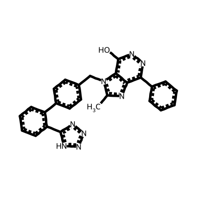 Cc1nc2c(-c3ccccc3)nnc(O)c2n1Cc1ccc(-c2ccccc2-c2nnn[nH]2)cc1